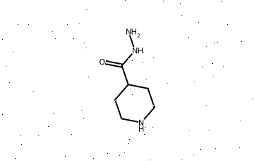 NNC(=O)C1CCNCC1